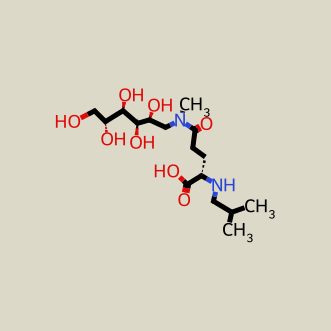 CC(C)CN[C@@H](CCC(=O)N(C)C[C@H](O)[C@@H](O)[C@H](O)[C@H](O)CO)C(=O)O